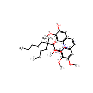 CCCCCC(C)(CCCC)C(=O)/C=C\Nc1cc(OC)c(O)cc1/C=C\c1cc(OC)c(OC)c(OC)c1